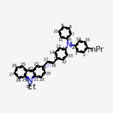 CCCc1ccc(N(c2ccccc2)c2ccc(/C=C/c3ccc4c(c3)c3ccccc3n4CC)cc2)cc1